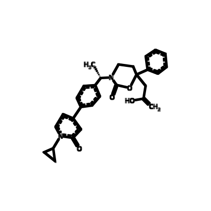 C=C(O)CC1(c2ccccc2)CCN([C@@H](C)c2ccc(-c3ccn(C4CC4)c(=O)c3)cc2)C(=O)O1